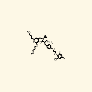 COCCCc1cc(CN(C(=O)C(CN)Cc2ccc(OCCOc3c(Cl)cc(C)cc3Cl)cc2)C2CC2)cc(OCCCSC)n1